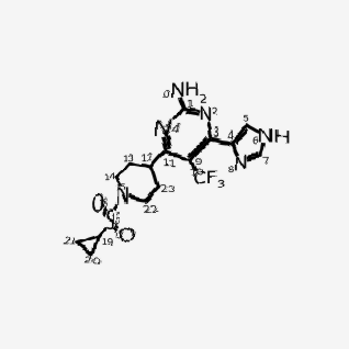 Nc1nc(-c2c[nH]cn2)c(C(F)(F)F)c(C2CCN(S(=O)(=O)C3CC3)CC2)n1